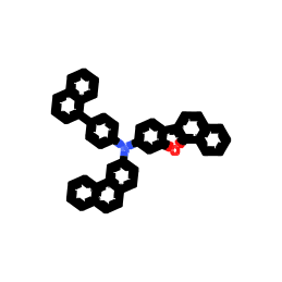 c1ccc2c(-c3ccc(N(c4ccc5c(c4)oc4c6ccccc6ccc54)c4ccc5ccc6ccccc6c5c4)cc3)cccc2c1